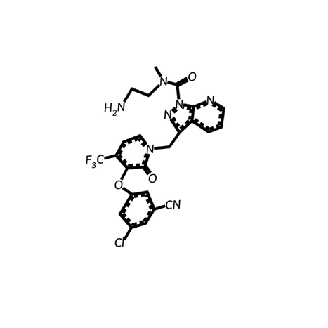 CN(CCN)C(=O)n1nc(Cn2ccc(C(F)(F)F)c(Oc3cc(Cl)cc(C#N)c3)c2=O)c2cccnc21